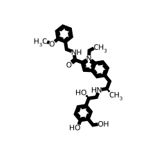 CCn1c(C(=O)NCc2ccccc2OC)cc2cc(C[C@@H](C)NC[C@H](O)c3ccc(O)c(CO)c3)ccc21